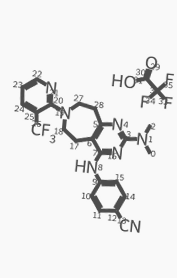 CN(C)c1nc2c(c(Nc3ccc(C#N)cc3)n1)CCN(c1ncccc1C(F)(F)F)CC2.O=C(O)C(F)(F)F